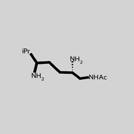 CC(=O)NC[C@@H](N)CCC(N)C(C)C